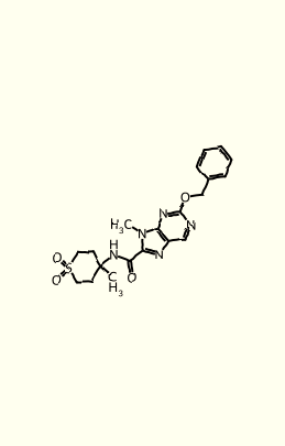 Cn1c(C(=O)NC2(C)CCS(=O)(=O)CC2)nc2cnc(OCc3ccccc3)nc21